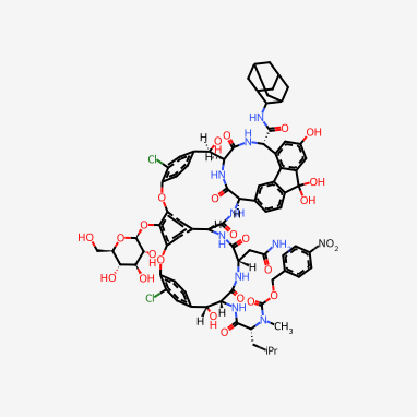 CC(C)C[C@H](C(=O)N[C@H]1C(=O)N[C@@H](CC(N)=O)C(=O)N[C@H]2C(=O)N[C@H]3C(=O)N[C@H](C(=O)N[C@H](C(=O)NC4C5CC6CC(C5)CC4C6)c4cc(O)cc5c4-c4cc3ccc4C5(O)O)[C@H](O)c3ccc(c(Cl)c3)Oc3cc2cc(c3O[C@@H]2O[C@H](CO)[C@@H](O)[C@H](O)[C@H]2O)Oc2ccc(cc2Cl)[C@H]1O)N(C)C(=O)OCc1ccc([N+](=O)[O-])cc1